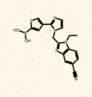 CCn1c(Cn2ccnc2-c2csc(N(O)O)c2)nc2cc(C#N)ccc21